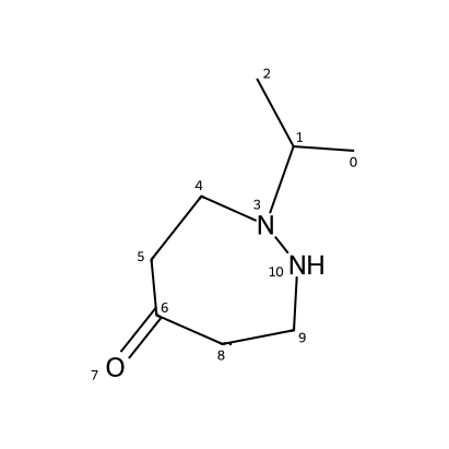 CC(C)N1CCC(=O)[CH]CN1